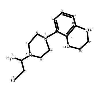 CC(CCl)N1CCN(c2cccc3c2OCCO3)CC1